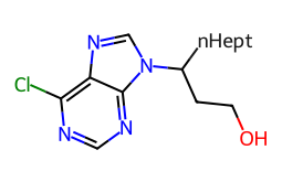 CCCCCCCC(CCO)n1cnc2c(Cl)ncnc21